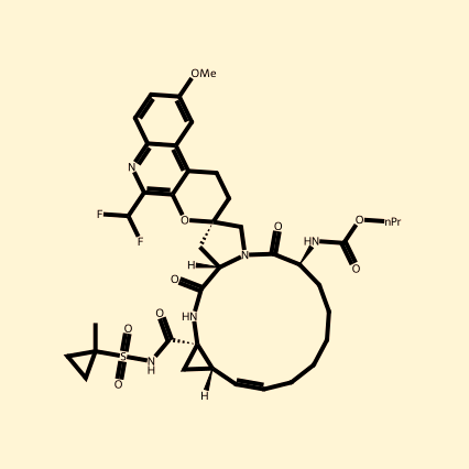 CCCOC(=O)N[C@H]1CCCCC/C=C\[C@@H]2C[C@@]2(C(=O)NS(=O)(=O)C2(C)CC2)NC(=O)[C@@H]2C[C@]3(CCc4c(c(C(F)F)nc5ccc(OC)cc45)O3)CN2C1=O